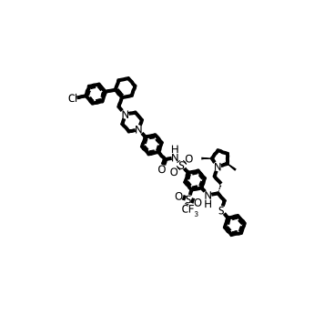 C[C@@H]1CC[C@H](C)N1CC[C@H](CSc1ccccc1)Nc1ccc(S(=O)(=O)NC(=O)c2ccc(N3CCN(CC4=C(c5ccc(Cl)cc5)CCCC4)CC3)cc2)cc1S(=O)(=O)C(F)(F)F